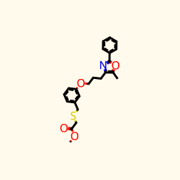 COC(=O)CSCc1cccc(OCCCc2nc(-c3ccccc3)oc2C)c1